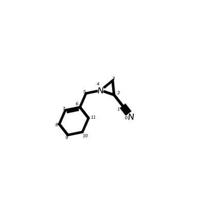 N#CC1CN1CC1=CCCCC1